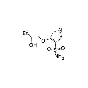 CCC(O)COC1=C(S(N)(=O)=O)C=NC1